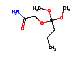 CCC[Si](OC)(OC)OCC(N)=O